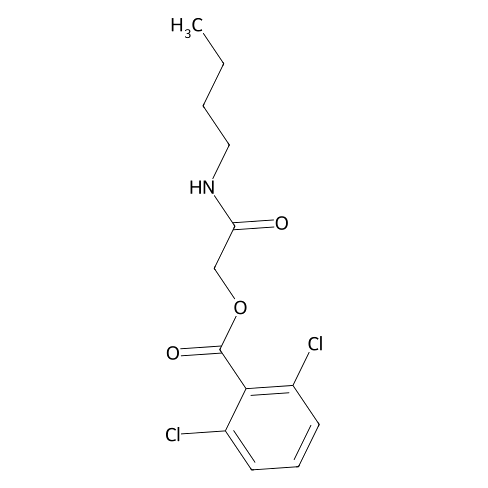 CCCCNC(=O)COC(=O)c1c(Cl)cccc1Cl